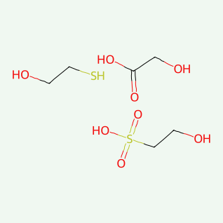 O=C(O)CO.O=S(=O)(O)CCO.OCCS